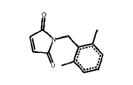 Cc1cccc(C)c1CN1C(=O)C=CC1=O